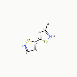 Cc1[c]c(-c2ccns2)sn1